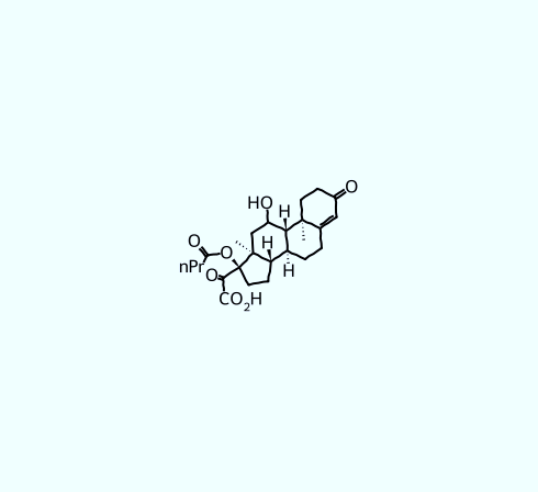 CCCC(=O)O[C@]1(C(=O)C(=O)O)CC[C@H]2[C@@H]3CCC4=CC(=O)CC[C@]4(C)[C@H]3C(O)C[C@@]21C